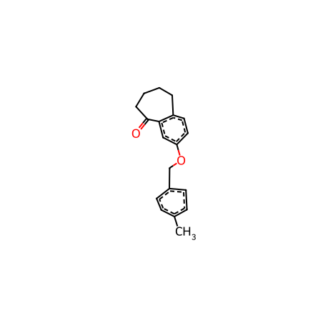 Cc1ccc(COc2ccc3c(c2)C(=O)CCCC3)cc1